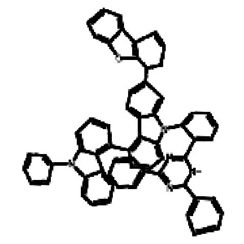 C1=CC(C2=NC(c3ccccc3)NC(c3ccccc3-n3c4cc(C5CC=Cc6c5oc5ccccc65)ccc4c4c(-c5cccc6c5c5ccccc5n6-c5ccccc5)cccc43)=N2)=CCC1